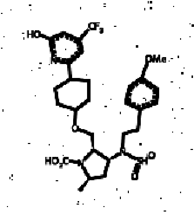 COc1ccc(CCN([C@H]2C[C@@H](C)N(C(=O)O)[C@H]2COC2CCC(c3cc(C(F)(F)F)cc(O)n3)CC2)[SH](=O)=O)cc1